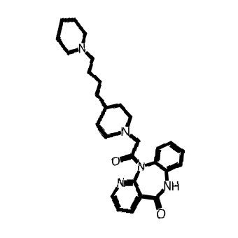 O=C1Nc2ccccc2N(C(=O)CN2CCC(CCCCN3CCCCC3)CC2)c2ncccc21